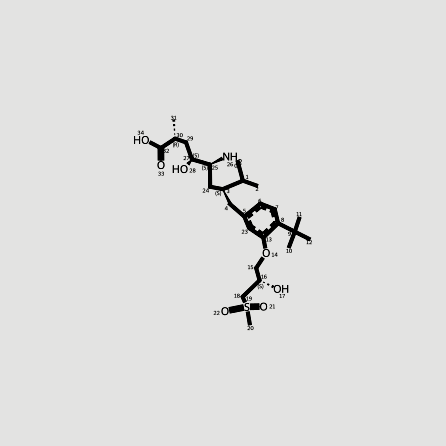 CC(C)[C@@H](Cc1ccc(C(C)(C)C)c(OC[C@H](O)CS(C)(=O)=O)c1)C[C@H](N)[C@@H](O)C[C@@H](C)C(=O)O